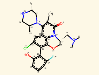 C[C@@H]1CN(c2c(C#N)c(=O)n3c4c(c(-c5c(O)cccc5F)c(Cl)cc24)OC[C@H]3CN(C)C)[C@@H](C)CN1